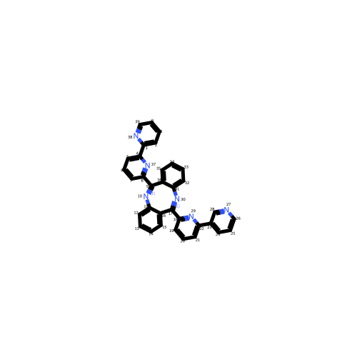 c1ccc(-c2cccc(/C3=N/c4ccccc4/C(c4cccc(-c5cccnc5)n4)=N\c4ccccc43)n2)nc1